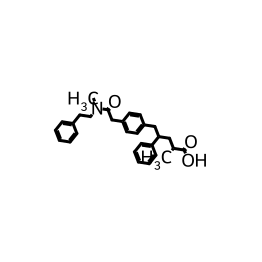 CC(CC(Cc1ccc(CC(=O)N(C)CCc2ccccc2)cc1)c1ccccc1)C(=O)O